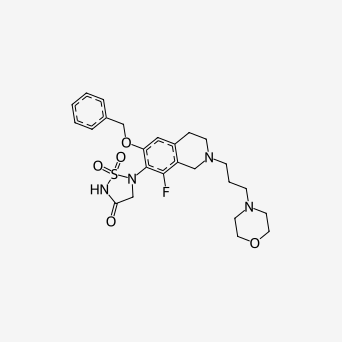 O=C1CN(c2c(OCc3ccccc3)cc3c(c2F)CN(CCCN2CCOCC2)CC3)S(=O)(=O)N1